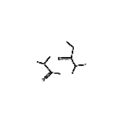 CC(=O)C(C)C.CCC(=O)C(C)C